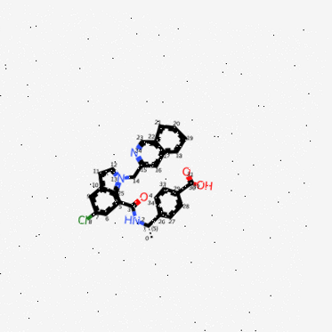 C[C@H](NC(=O)c1cc(Cl)cc2ccn(Cc3cc4ccccc4cn3)c12)c1ccc(C(=O)O)cc1